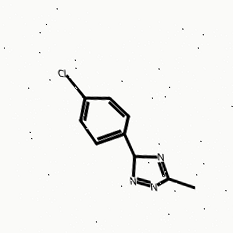 CC1=NC(c2ccc(Cl)cc2)N=N1